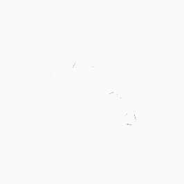 C[C@H](CCC(=O)N1CC[C@H](c2ccccc2)C1)[C@H]1CC[C@H]2[C@@H]3CC=C4C[C@@H](O)CC[C@]4(C)[C@H]3CC[C@]12C